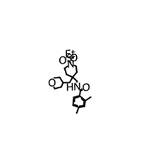 CCS(=O)(=O)N1CCC(CNC(=O)c2ccc(C)cc2C)(CC2CCOCC2)CC1